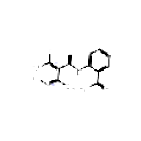 C/N=C(C)\C(C(=O)Nc1ccccc1C(C)=O)=C(/C)F